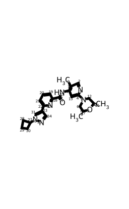 Cc1cnc(N2C[C@@H](C)O[C@@H](C)C2)cc1NC(=O)c1cccc(-c2cnn(C3CCC3)c2)n1